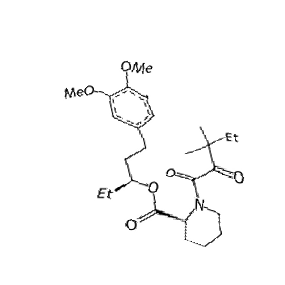 CC[C@@H](CCc1ccc(OC)c(OC)c1)OC(=O)[C@@H]1CCCCN1C(=O)C(=O)C(C)(C)CC